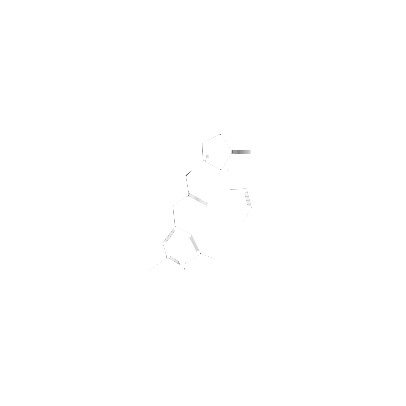 C=C(Cc1cc(C)nc(C)c1)C[C@H]1CCC(=C)[C@@H]1C/C=C\CC